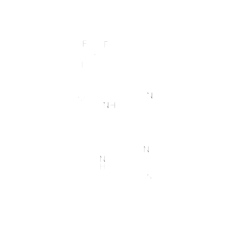 Cc1ccc(C(=O)Nc2cccc(C(F)(F)F)c2)cc1Nc1cc(-c2ccncc2)nc2sccc12